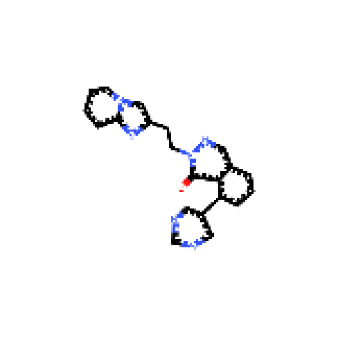 O=c1c2c(-c3cncnc3)cccc2cnn1CCc1cn2ccccc2n1